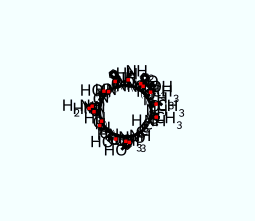 CCCC[C@H]1C(=O)N(C)[C@@H](CCCC)C(=O)N[C@@H](CC(C)C)C(=O)NCCCCC(=O)N[C@@H](Cc2ccc(O)cc2)C(=O)N(C)[C@@H](C)C(=O)N[C@@H](CC(=O)O)C(=O)N2CCC[C@H]2C(=O)N[C@@H](Cc2c[nH]cn2)C(=O)N[C@@H](CCCCN)C(=O)N2C[C@H](O)C[C@H]2C(=O)N[C@@H](Cc2c[nH]c3ccccc23)C(=O)N[C@@H](CCCCN)C(=O)N[C@@H](Cc2cn(CC(=O)O)c3ccccc23)C(=O)N1C